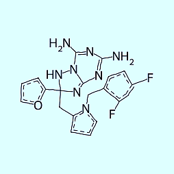 NC1=NC2=NC(Cc3cccn3Cc3ccc(F)cc3F)(c3ccco3)NN2C(N)=N1